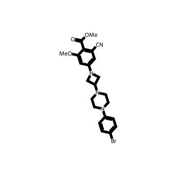 COC(=O)c1c(C#N)cc(N2CC(N3CCN(c4ccc(Br)cc4)CC3)C2)cc1OC